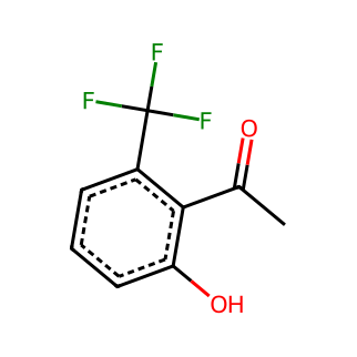 CC(=O)c1c(O)cccc1C(F)(F)F